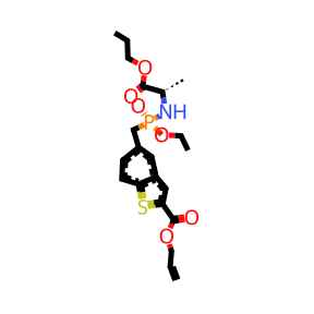 C=CCOC(=O)c1cc2cc(CP(=O)(N[C@@H](C)C(=O)OCCC)OCC)ccc2s1